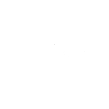 CCCCC1CN(c2ccccc2)c2cc(SC)c(Oc3cccc(C(=O)O)c3)cc2SN1C